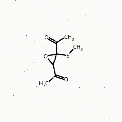 CSC1(C(C)=O)OC1C(C)=O